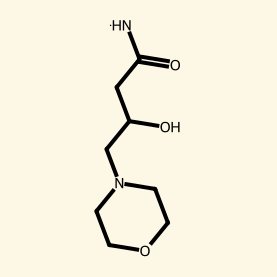 [NH]C(=O)CC(O)CN1CCOCC1